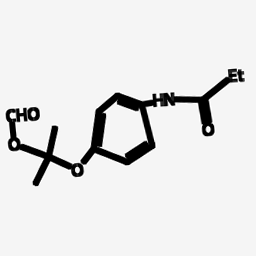 CCC(=O)Nc1ccc(OC(C)(C)OC=O)cc1